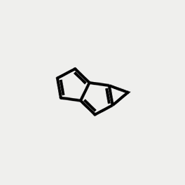 C1=CC2=CC3=C(C3)C2=C1